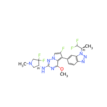 COc1nc(N[C@@H]2CN(C)CC2(F)F)nn2cc(F)c(-c3ccc4nnn([C@H](C)C(F)F)c4c3)c12